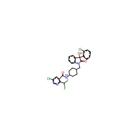 O=C(NC1CCC(CN2C(=O)C(O)(c3ccccc3Cl)c3ccccc32)CC1)c1cc(Cl)cnc1C(F)F